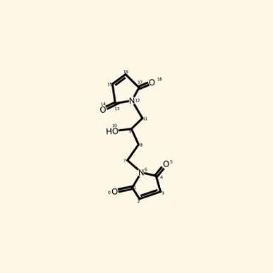 O=C1C=CC(=O)N1CCC(O)CN1C(=O)C=CC1=O